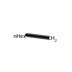 C=C=C=C=C=C=C=C=C=C=C=C=C=C=C=C=C=CCCCCCC